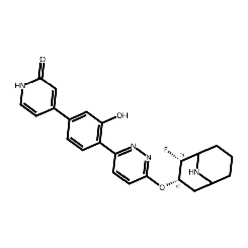 O=c1cc(-c2ccc(-c3ccc(O[C@H]4CC5CCCC(N5)[C@H]4F)nn3)c(O)c2)cc[nH]1